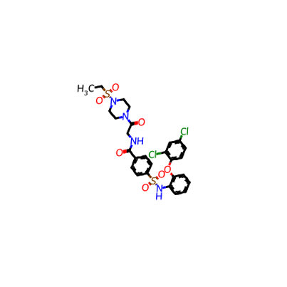 CCS(=O)(=O)N1CCN(C(=O)CNC(=O)c2ccc(S(=O)(=O)Nc3ccccc3Oc3ccc(Cl)cc3Cl)cc2)CC1